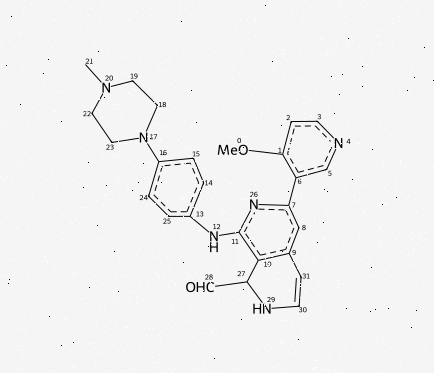 COc1ccncc1-c1cc2c(c(Nc3ccc(N4CCN(C)CC4)cc3)n1)C(C=O)NC=C2